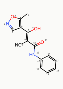 Cc1oncc1/C(O)=C(\C#N)C(=O)Nc1ccccc1